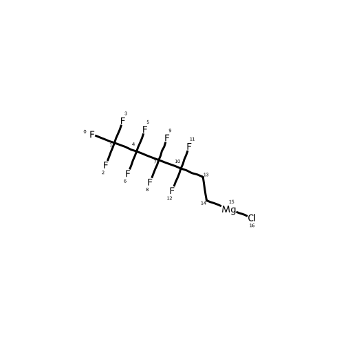 FC(F)(F)C(F)(F)C(F)(F)C(F)(F)C[CH2][Mg][Cl]